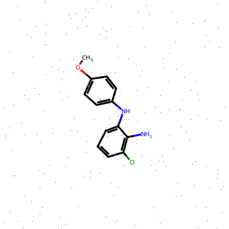 COc1ccc(Nc2cccc(Cl)c2N)cc1